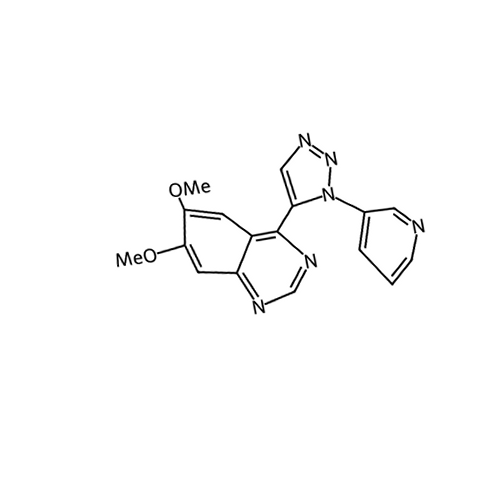 COc1cc2ncnc(-c3cnnn3-c3cccnc3)c2cc1OC